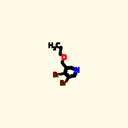 C=CCOCc1cncc(Br)c1Br